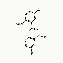 CNc1ccc(Cl)cc1/C(C)=N/N(c1cccc(F)c1)C(C)C